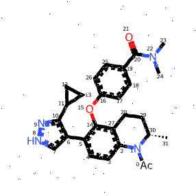 CC(=O)N1c2ccc(-c3c[nH]nc3C3CC3)c(Oc3ccc(C(=O)N(C)C)cc3)c2CC[C@@H]1C